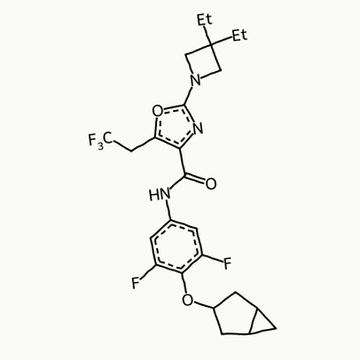 CCC1(CC)CN(c2nc(C(=O)Nc3cc(F)c(OC4CC5CC5C4)c(F)c3)c(CC(F)(F)F)o2)C1